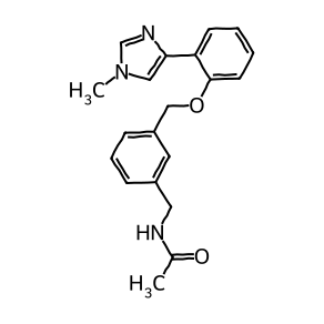 CC(=O)NCc1cccc(COc2ccccc2-c2cn(C)cn2)c1